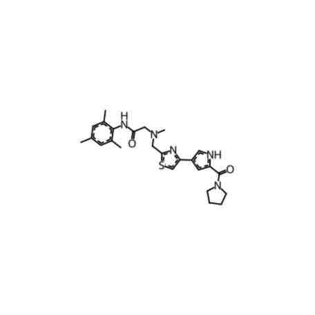 Cc1cc(C)c(NC(=O)CN(C)Cc2nc(-c3c[nH]c(C(=O)N4CCCC4)c3)cs2)c(C)c1